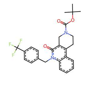 CC(C)(C)OC(=O)N1CCc2c(c(=O)n(Cc3ccc(C(F)(F)F)cc3)c3ccccc23)C1